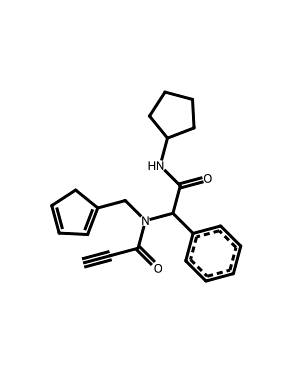 C#CC(=O)N(CC1=CC=CC1)C(C(=O)NC1CCCC1)c1ccccc1